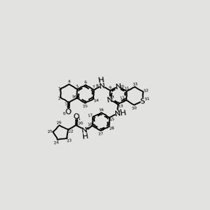 O=C1CCCc2cc(Nc3nc4c(c(Nc5ccc(NC(=O)C6CCCC6)cc5)n3)CSCC4)ccc21